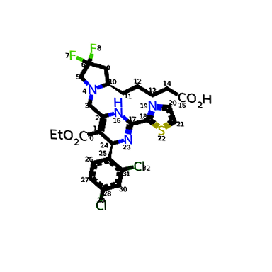 CCOC(=O)C1=C(CN2CC(F)(F)C[C@H]2CCCCC(=O)O)NC(c2nccs2)=N[C@H]1c1ccc(Cl)cc1Cl